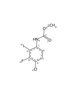 COC(=O)Nc1ccc(Cl)c(F)c1I